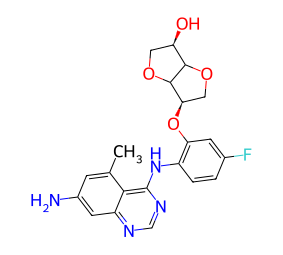 Cc1cc(N)cc2ncnc(Nc3ccc(F)cc3O[C@@H]3COC4C3OC[C@H]4O)c12